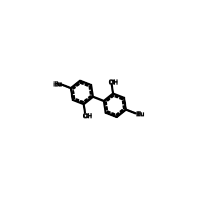 CCC(C)c1ccc(-c2ccc(C(C)CC)cc2O)c(O)c1